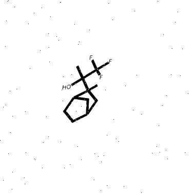 CC1(C(C)(O)C(F)(F)F)CC2CCC1C2